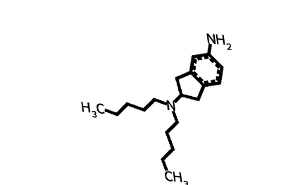 CCCCCN(CCCCC)C1Cc2ccc(N)cc2C1